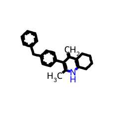 C=C1C2=C(CCCC2)NC(C)=C1c1ccc(Cc2ccccc2)cc1